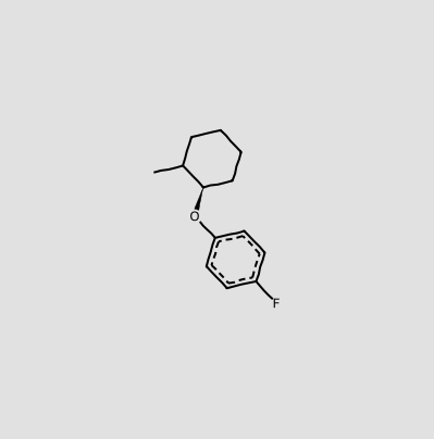 CC1CCCC[C@H]1Oc1ccc(F)cc1